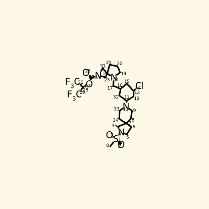 CS(=O)(=O)N1CCC2(CCN(C3CC(Cl)CC(CN4CCCC45CN(C(=O)OC(C(F)(F)F)C(F)(F)F)C5)C3)CC2)C1